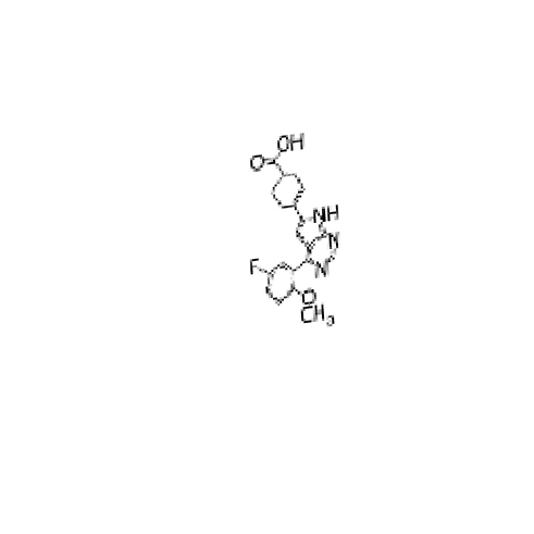 COc1ccc(F)cc1-c1ncnc2[nH]c(C3=CCC(C(=O)O)CC3)cc12